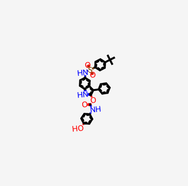 CC(C)(C)c1ccc(S(=O)(=O)Nc2ccc3[nH]c(OC(=O)Nc4ccc(O)cc4)c(-c4ccccc4)c3c2)cc1